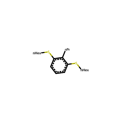 [CH2]CCc1c(SCCCCCC)cccc1SCCCCCC